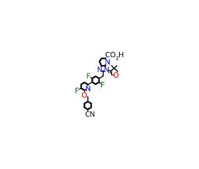 CC1(C)COC[C@H]1n1c(Cc2cc(F)c(-c3ccc(F)c(OCc4ccc(C#N)cc4)n3)cc2F)nc2ccc(C(=O)O)nc21